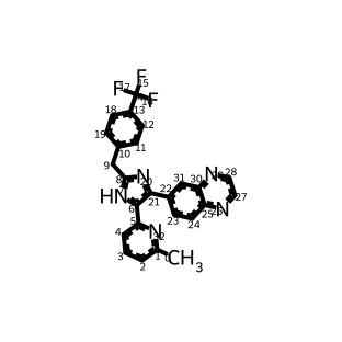 Cc1cccc(-c2[nH]c(Cc3ccc(C(F)(F)F)cc3)nc2-c2ccc3nccnc3c2)n1